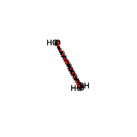 O=C(O)CCCCCCCCCCCCCCCCCCCCCCCCCCCCCCCCCCCCCP(=O)(O)O